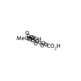 COC1=CC(=O)C=C(C)[C@]1(O)C(=O)Oc1c(C)c(C)c(C(=O)Oc2cc(C)c(C(=O)Oc3c(C)c(C)c(C(=O)O)c(C)c3C)c(C)c2C)c(O)c1Cl